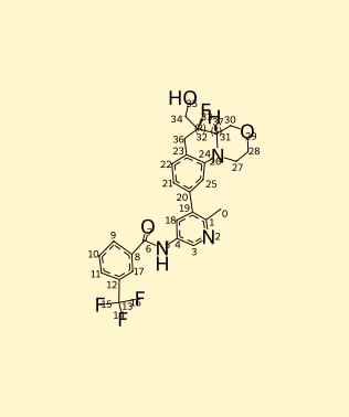 Cc1ncc(NC(=O)c2cccc(C(F)(F)F)c2)cc1-c1ccc2c(c1)N1CCOC[C@H]1[C@@](F)(CO)C2